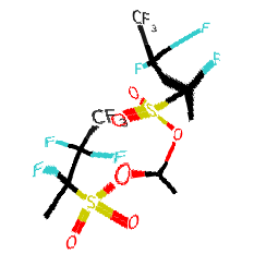 CC(OS(=O)(=O)C(C)(F)C(F)(F)C(F)(F)F)OS(=O)(=O)C(C)(F)C(F)(F)C(F)(F)F